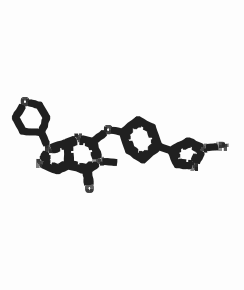 CC(C)n1cc(-c2ccc(Oc3nc4c(cnn4C4CCOCC4)c(=O)n3C)cc2)cn1